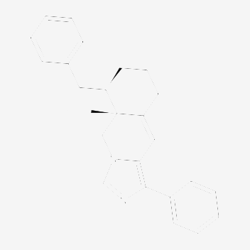 C[C@]12Cn3cnc(-c4ccccc4)c3C=C1CCC[C@@H]2[C@H](O)c1ccccc1